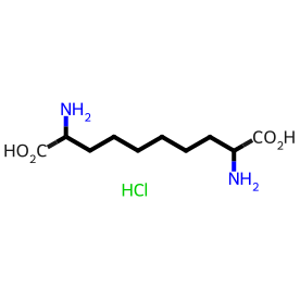 Cl.NC(CCCCCCC(N)C(=O)O)C(=O)O